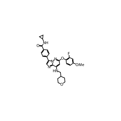 COc1ccc(Oc2cc(NCC3CCOCC3)c3ncc(-c4ccc(C(=O)NC5CC5)cc4)n3n2)c(F)c1